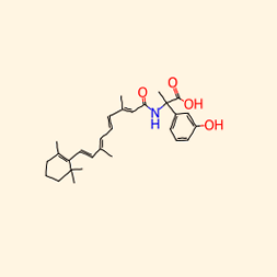 CC(C=CC1=C(C)CCCC1(C)C)=CC=CC(C)=CC(=O)NC(C)(C(=O)O)c1cccc(O)c1